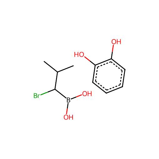 CC(C)C(Br)B(O)O.Oc1ccccc1O